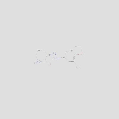 O=C1NCCCC1=NNc1cc(Cl)c2c(c1)CCO2